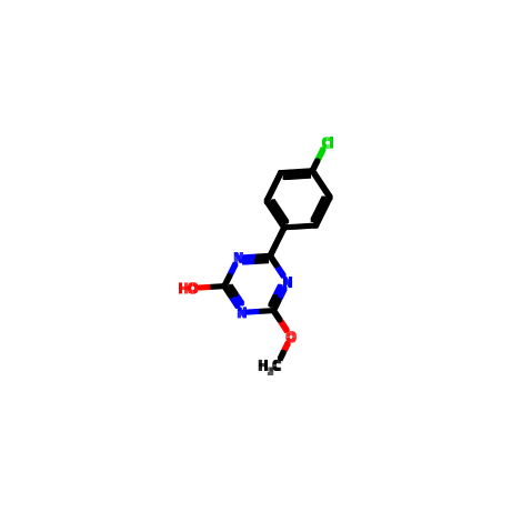 COc1nc(O)nc(-c2ccc(Cl)cc2)n1